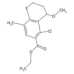 CCOC(=O)c1cc(C)c2c(c1Cl)C(OC)CCS2